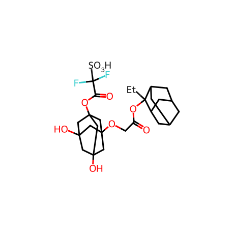 CCC1(OC(=O)COC23CC4(O)CC(O)(C2)CC(OC(=O)C(F)(F)S(=O)(=O)O)(C4)C3)C2CC3CC(C2)CC1C3